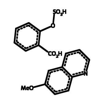 COc1ccc2ncccc2c1.O=C(O)c1ccccc1OS(=O)(=O)O